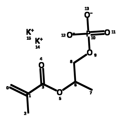 C=C(C)C(=O)OC(C)COP(=O)([O-])[O-].[K+].[K+]